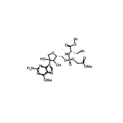 COC(=O)COP(=O)(N[C@@H](CC(C)C)C(=O)OC(C)C)OC[C@H]1OCC(O)(n2cnc3c(OC)nc(N)nc32)C1O